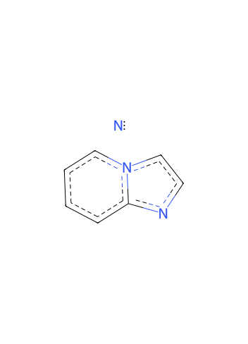 [N].c1ccn2ccnc2c1